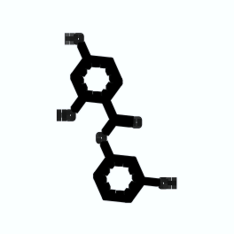 O=C(Oc1cccc(O)c1)c1ccc(O)cc1O